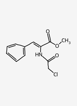 COC(=O)C(=Cc1ccccc1)NC(=O)CCl